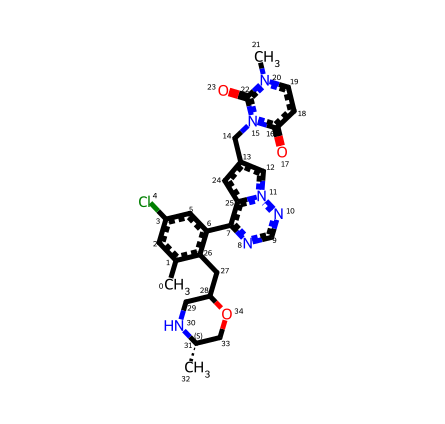 Cc1cc(Cl)cc(-c2ncnn3cc(Cn4c(=O)ccn(C)c4=O)cc23)c1CC1CN[C@@H](C)CO1